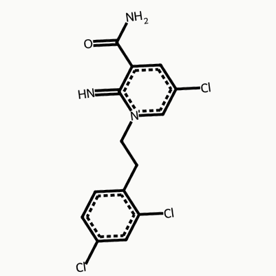 N=c1c(C(N)=O)cc(Cl)cn1CCc1ccc(Cl)cc1Cl